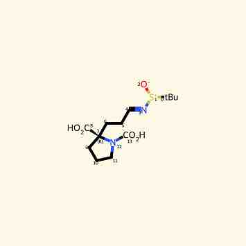 CC(C)(C)[S+]([O-])N=CCC[C@@]1(C(=O)O)CCCN1C(=O)O